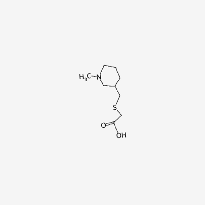 CN1CCCC(CSCC(=O)O)C1